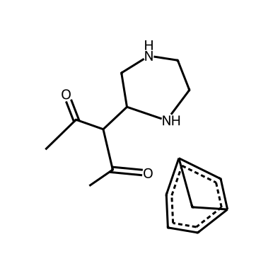 CC(=O)C(C(C)=O)C1CNCCN1.c1cc2cc(c1)C2